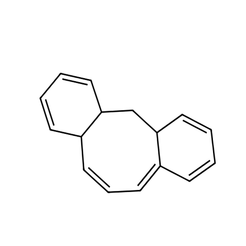 C1=C/C2=C/C=C\C3C=CC=CC3CC2C=C1